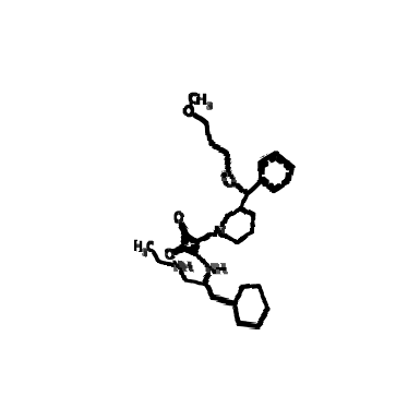 CCNCC(CC1CCCCC1)Nc1c(N2CCCC(C(OCCCOC)c3ccccc3)C2)c(=O)c1=O